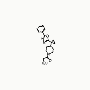 CC(C)(C)CC(=O)N1CCC(C2(c3nnc(-c4ccccc4)o3)CC2)CC1